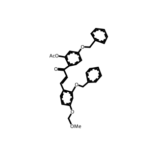 COCOc1ccc(/C=C/C(=O)c2ccc(OCc3ccccc3)cc2OC(C)=O)c(OCc2ccccc2)c1